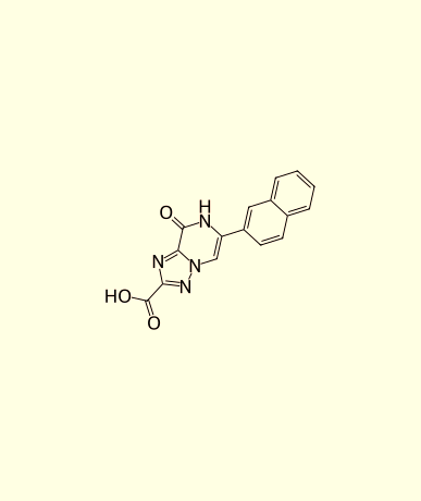 O=C(O)c1nc2c(=O)[nH]c(-c3ccc4ccccc4c3)cn2n1